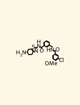 COc1ccc(C(=O)NCc2cccc(C(=O)Nc3nc4c(s3)C[C@@H](N)CC4)c2)cc1Cl